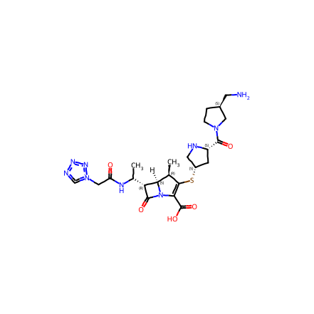 CC(NC(=O)Cn1cnnn1)[C@H]1C(=O)N2C(C(=O)O)=C(S[C@@H]3CN[C@H](C(=O)N4CC[C@@H](CN)C4)C3)[C@H](C)[C@H]12